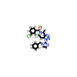 CC1c2nnn(-c3nccn3Cc3ccccc3)c2C=CN1C(=O)c1cccc(Cl)c1Cl